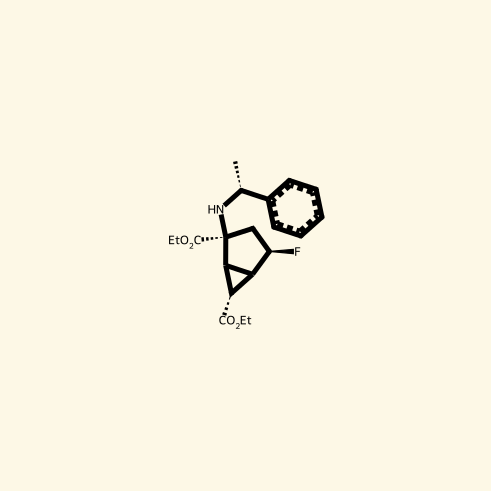 CCOC(=O)[C@H]1C2C1[C@](N[C@H](C)c1ccccc1)(C(=O)OCC)C[C@H]2F